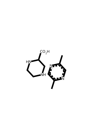 Cc1cnc(C)cn1.O=C(O)C1CNCCN1